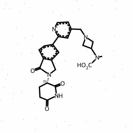 CN(C(=O)O)C1CN(Cc2ccnc(-c3ccc4c(c3)CN([C@H]3CCC(=O)NC3=O)C4=O)c2)C1